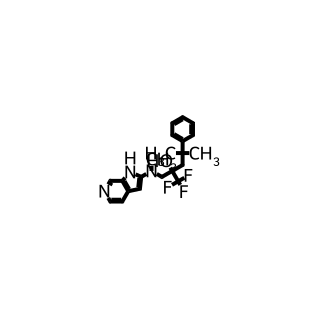 CN(CC(O)(CC(C)(C)c1ccccc1)C(F)(F)F)c1cc2ccncc2[nH]1